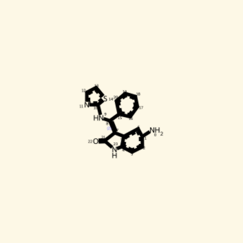 Nc1ccc2c(c1)/C(=C(/Nc1nccs1)c1ccccc1)C(=O)N2